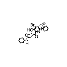 O=C(CNC(=O)c1nc(N2CCCCS2(=O)=O)cc(Br)c1O)NC1CCCCC1